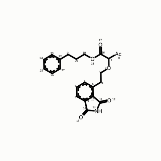 CC(=O)C(OCCc1cccc2c1C(=O)NC2=O)C(=O)OCCCc1ccccc1